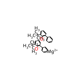 CC(C)(C)c1cccc(-c2ccccc2)c1[O-].CC(C)(C)c1cccc(-c2ccccc2)c1[O-].[Mg+2]